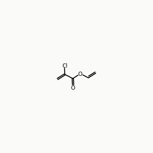 C=COC(=O)C(=C)Cl